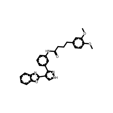 COc1ccc(CCCC(=O)Nc2cccc(-c3n[nH]cc3-c3nc4ccccc4o3)c2)cc1OC